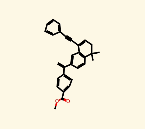 C=C(c1ccc(C(=O)OC)cc1)c1ccc2c(c1)C(C#Cc1ccccc1)=CCC2(C)C